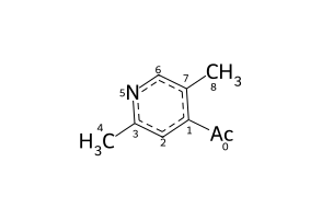 CC(=O)c1cc(C)ncc1C